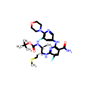 CSCC[C@@H](Nc1nc(Nc2cnc(N3CCOCC3)c(F)c2)c(C(N)=O)cc1F)[C@H](C)NC(=O)OC(C)(C)C